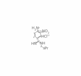 CC(C)CNC(=N)c1ccc(N)c([N+](=O)[O-])c1.Cl